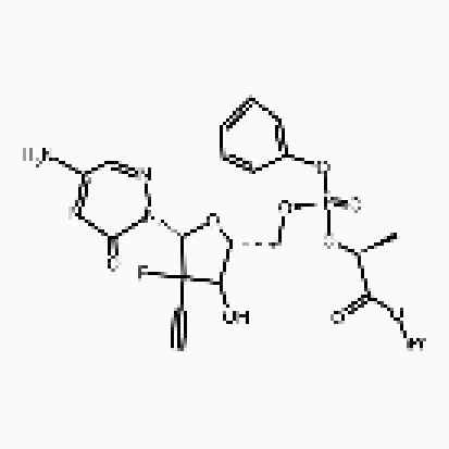 C#CC1(F)C(O)[C@@H](CO[P@](=O)(Oc2ccccc2)O[C@@H](C)C(=O)OC(C)C)O[C@H]1n1ncc(N)nc1=O